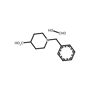 O=C(O)C1CCN(Cc2ccccc2)CC1.O=CO